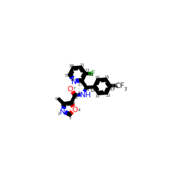 Cc1ncoc1C(=O)NC(c1ccc(C(F)(F)F)cc1)c1ncccc1F